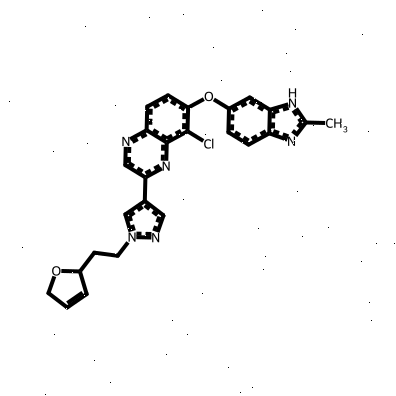 Cc1nc2ccc(Oc3ccc4ncc(-c5cnn(CCC6C=CCO6)c5)nc4c3Cl)cc2[nH]1